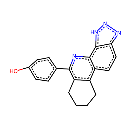 Oc1ccc(-c2nc3c(ccc4nn[nH]c43)c3c2CCCC3)cc1